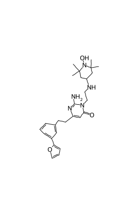 CC1(C)CC(NCCn2c(N)nc(CCc3cccc(-c4ccco4)c3)cc2=O)CC(C)(C)N1O